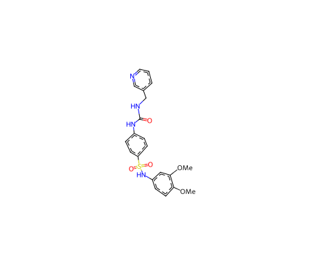 COc1ccc(NS(=O)(=O)c2ccc(NC(=O)NCc3cccnc3)cc2)cc1OC